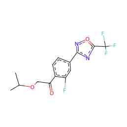 CC(C)OCC(=O)c1ccc(-c2noc(C(F)(F)F)n2)cc1F